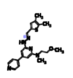 COCCN(C)c1cc(-c2ccncc2)cc(N/N=C/c2cc(C)c(C)s2)n1